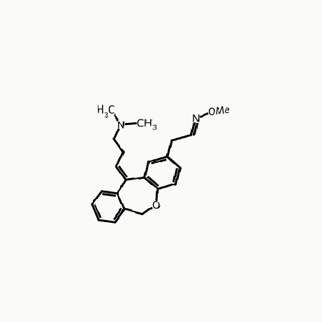 CO/N=C/Cc1ccc2c(c1)/C(=C\CCN(C)C)c1ccccc1CO2